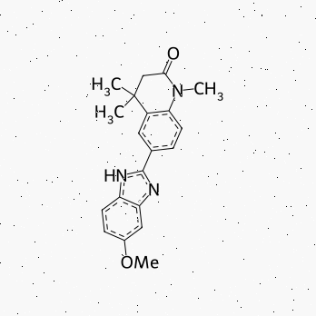 COc1ccc2[nH]c(-c3ccc4c(c3)C(C)(C)CC(=O)N4C)nc2c1